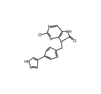 O=c1[nH]c2cnc(Cl)nc2n1Cc1ccc(-c2cn[nH]c2)cc1